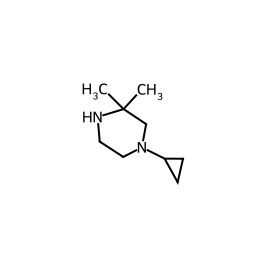 CC1(C)CN(C2CC2)CCN1